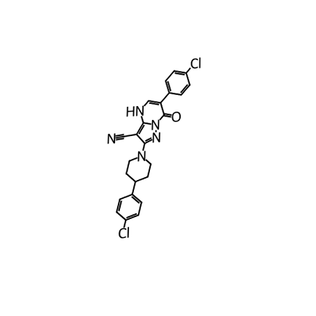 N#Cc1c(N2CCC(c3ccc(Cl)cc3)CC2)nn2c(=O)c(-c3ccc(Cl)cc3)c[nH]c12